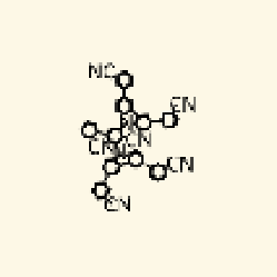 N#Cc1cccc(-c2ccc3c(c2)c2cc(-c4cccc(C#N)c4)ccc2n3-c2cc(-c3ccccc3C#N)cc(-n3c4ccc(-c5cccc(C#N)c5)cc4c4cc(-c5cccc(C#N)c5)ccc43)c2C#N)c1